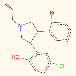 C=CCN1CC(c2cc(Cl)ccc2O)C(c2ccccc2Br)C1